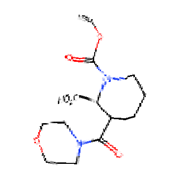 CC(C)(C)OC(=O)N1CCCC(C(=O)N2CCOCC2)[C@H]1C(=O)O